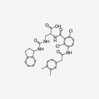 Cc1ccc(CC(=O)Nc2ccc(Cl)c(C(=O)NC(CNC(=O)NC3CCc4ccccc43)C(=O)O)c2Cl)cc1C